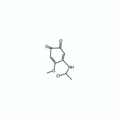 COC1=CC(=O)C(=O)C=C1NC(C)Cl